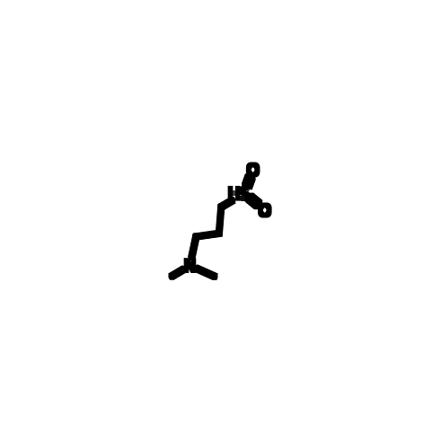 CN(C)CCC[SH](=O)=O